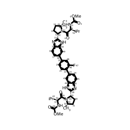 COC(=O)N[C@H](C(=O)N1[C@@H](C)CC[C@H]1c1nc2ccc(-c3ccc(-c4ccc5nc([C@@H]6CC[C@H](C)N6C(=O)[C@@H](NC(=O)OC)C(C)C)[nH]c5c4)c(F)c3)cc2[nH]1)C(C)C